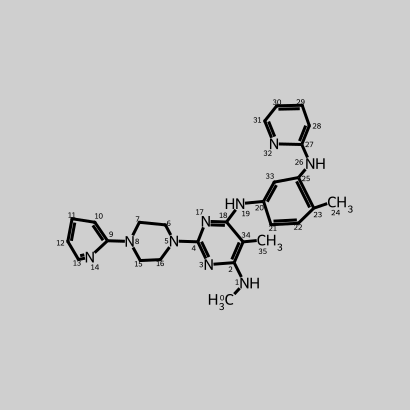 CNc1nc(N2CCN(c3ccccn3)CC2)nc(Nc2ccc(C)c(Nc3ccccn3)c2)c1C